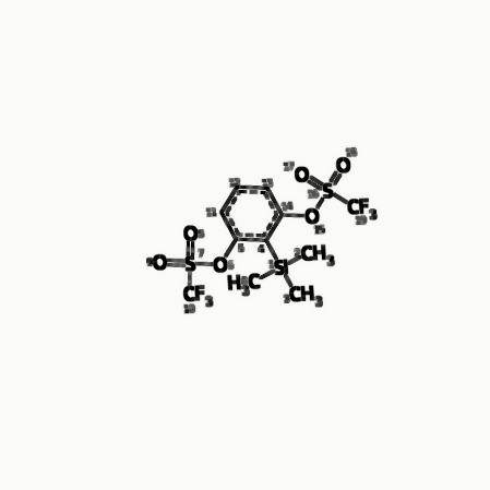 C[Si](C)(C)c1c(OS(=O)(=O)C(F)(F)F)cccc1OS(=O)(=O)C(F)(F)F